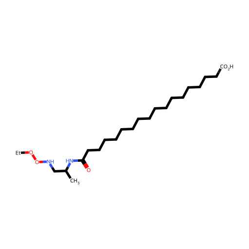 CCOONCC(C)NC(=O)CCCCCCCCCCCCCCCCC(=O)O